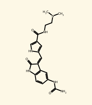 CN(C)CCNC(=O)c1c[nH]c(/C=C2\C(=O)Nc3ccc(NC(N)=O)cc32)c1